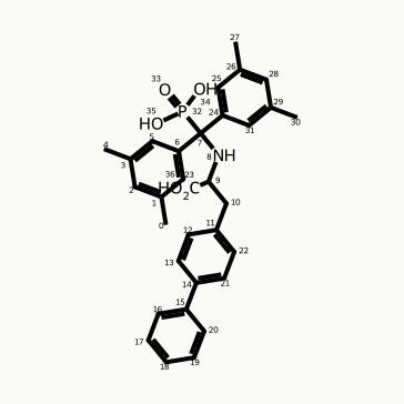 Cc1cc(C)cc(C(NC(Cc2ccc(-c3ccccc3)cc2)C(=O)O)(c2cc(C)cc(C)c2)P(=O)(O)O)c1